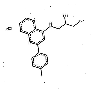 Cc1ccc(-c2cc(NCC(O)CO)c3ccccc3n2)cc1.Cl